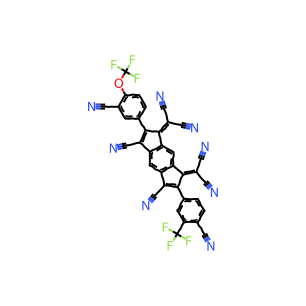 N#CC(C#N)=C1C(c2ccc(OC(F)(F)F)c(C#N)c2)=C(C#N)c2cc3c(cc21)C(=C(C#N)C#N)C(c1ccc(C#N)c(C(F)(F)F)c1)=C3C#N